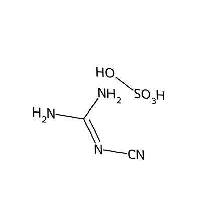 N#CN=C(N)N.O=S(=O)(O)O